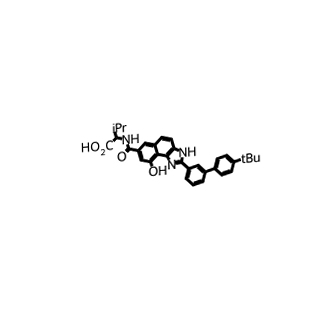 CC(C)C(NC(=O)c1cc(O)c2c(ccc3[nH]c(-c4cccc(-c5ccc(C(C)(C)C)cc5)c4)nc32)c1)C(=O)O